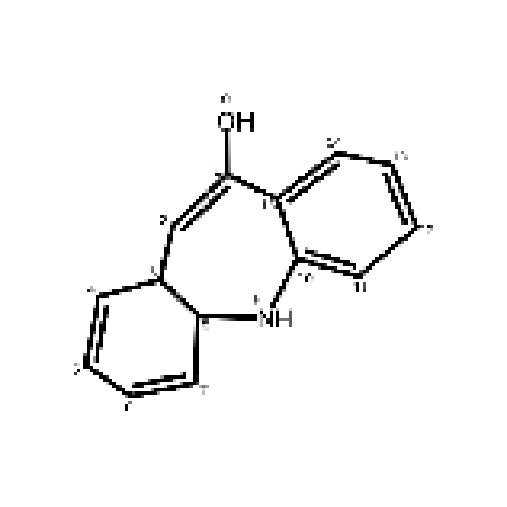 OC1=CC2C=CC=CC2Nc2ccccc21